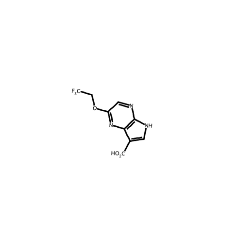 O=C(O)c1c[nH]c2ncc(OCC(F)(F)F)nc12